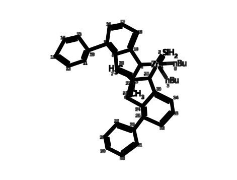 CCC[CH2][Zr](=[SiH2])([CH2]CCC)([CH]1C(C)=Cc2c(-c3ccccc3)cccc21)[CH]1C(C)=Cc2c(-c3ccccc3)cccc21